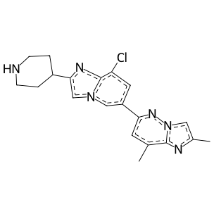 Cc1cn2nc(-c3cc(Cl)c4nc(C5CCNCC5)cn4c3)cc(C)c2n1